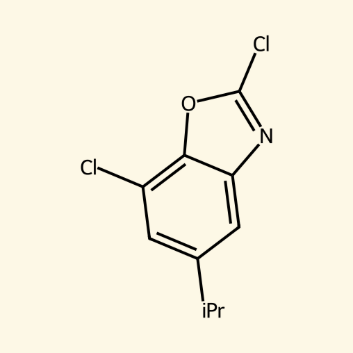 CC(C)c1cc(Cl)c2oc(Cl)nc2c1